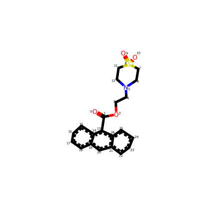 O=C(OCCN1CCS(=O)(=O)CC1)c1c2ccccc2cc2ccccc12